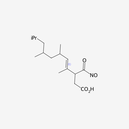 C/C(=C\C(C)CC(C)CC(C)C)C(CC(=O)O)C(=O)N=O